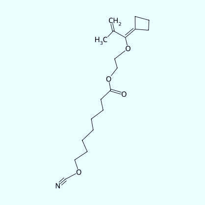 C=C(C)C(OCCOC(=O)CCCCCCCOC#N)=C1CCC1